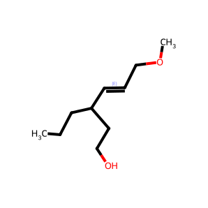 CCCC(/C=C/COC)CCO